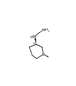 CN1CCC[C@@H](NN)C1